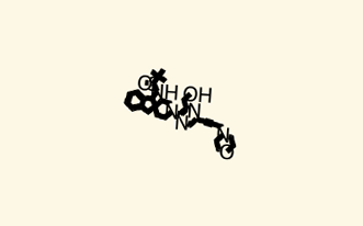 CC(C)(C)[S+]([O-])NC1c2ccccc2CC12CCN(c1ncc(C#CCN3CCOCC3)nc1CO)CC2